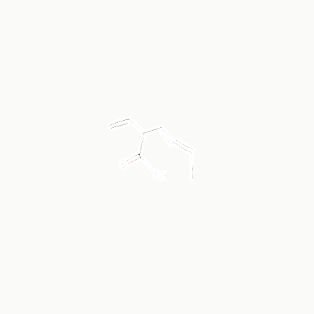 C=CC(C=C=CC)C(=O)O